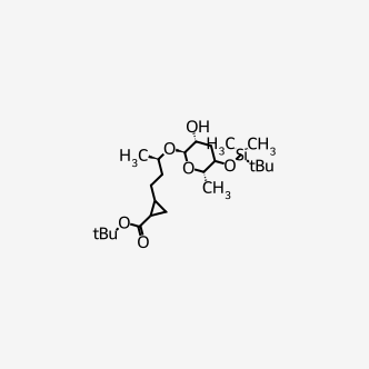 C[C@H](CCC1CC1C(=O)OC(C)(C)C)O[C@@H]1O[C@@H](C)C(O[Si](C)(C)C(C)(C)C)C[C@H]1O